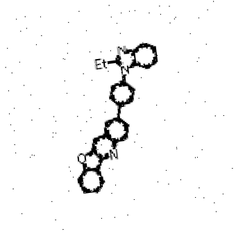 CCc1nc2ccccc2n1-c1ccc(-c2ccc3nc4c(cc3c2)oc2ccccc24)cc1